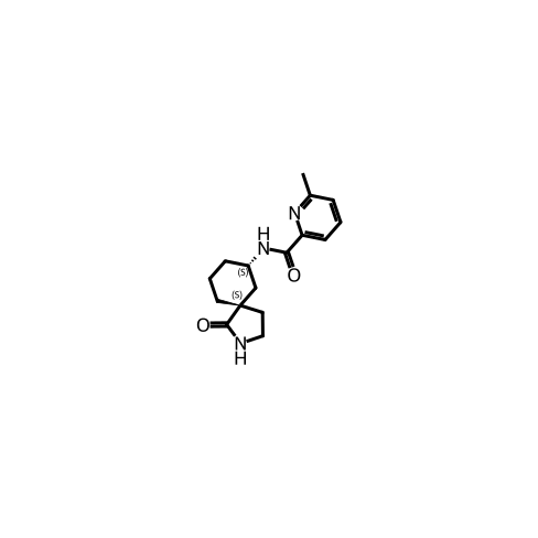 Cc1cccc(C(=O)N[C@H]2CCC[C@]3(CCNC3=O)C2)n1